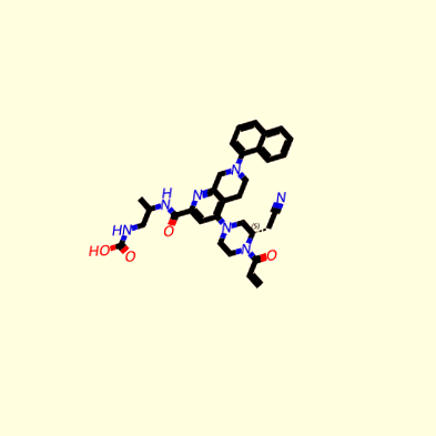 C=CC(=O)N1CCN(c2cc(C(=O)NC(C)CNC(=O)O)nc3c2CCN(c2cccc4ccccc24)C3)C[C@@H]1CC#N